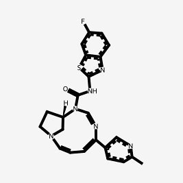 Cc1ccc(C2=CC=CN3CC[C@@H](C3)N(C(=O)Nc3nc4ccc(F)cc4s3)C=N2)cn1